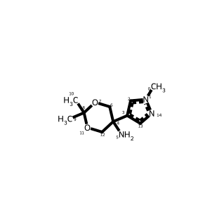 Cn1cc(C2(N)COC(C)(C)OC2)cn1